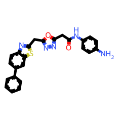 Nc1ccc(NC(=O)Cc2nnc(Cc3nc4ccc(-c5ccccc5)cc4s3)o2)cc1